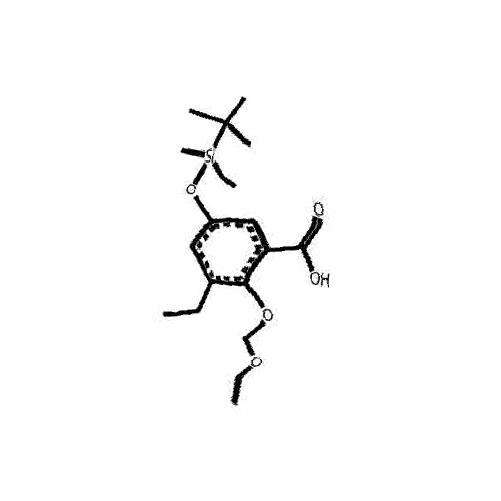 CCc1cc(O[Si](C)(C)C(C)(C)C)cc(C(=O)O)c1OCOC